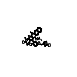 CN(c1ccc2ccccc2c1)c1nc2c(c(-c3cccc(OCc4cnc(Cl)s4)c3)c1CN)c(=O)n(C)c(=O)n2C